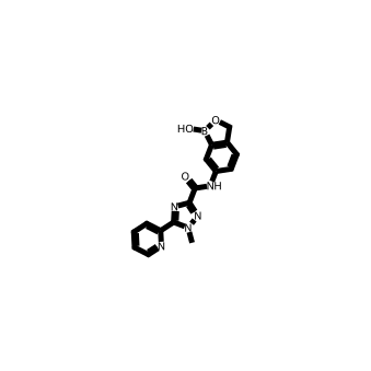 Cn1nc(C(=O)Nc2ccc3c(c2)B(O)OC3)nc1-c1ccccn1